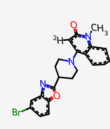 [2H]c1c(N2CCC(c3nc4cc(Br)ccc4o3)CC2)c2ccccc2n(C)c1=O